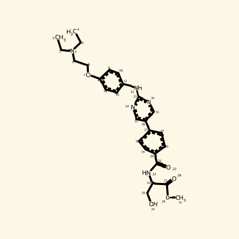 CCN(CC)CCOc1ccc(Nc2ncc(-c3ccc(C(=O)NC(CO)C(=O)OC)cc3)cn2)cc1